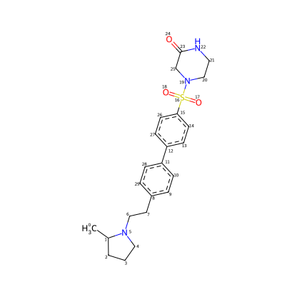 CC1CCCN1CCc1ccc(-c2ccc(S(=O)(=O)N3CCNC(=O)C3)cc2)cc1